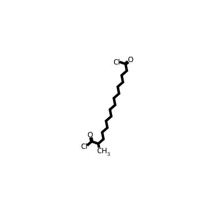 CC(CCCCCCCCCCCCCC(=O)Cl)C(=O)Cl